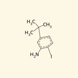 CC(C)(C)c1ccc(I)c(N)c1